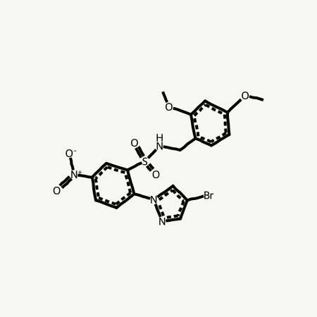 COc1ccc(CNS(=O)(=O)c2cc([N+](=O)[O-])ccc2-n2cc(Br)cn2)c(OC)c1